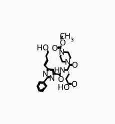 CCOC(=O)N1CCN(C(=O)[C@H](CCC(=O)O)NC(=O)c2cc(C=CCCO)nc(-c3ccccc3)n2)CC1